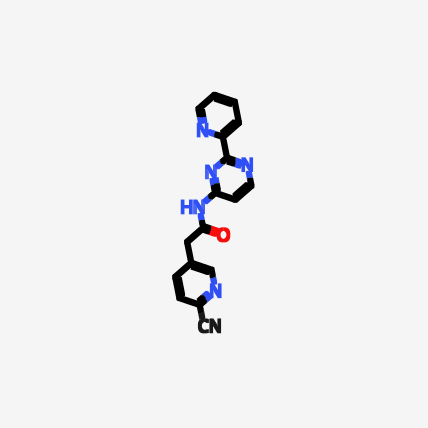 N#Cc1ccc(CC(=O)Nc2ccnc(-c3ccccn3)n2)cn1